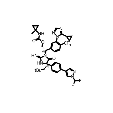 CC(C)(C)C[C@]1(c2ccc(-c3cnn(C(F)F)c3)cc2)NC(=N)N([C@H](COC(=O)NC2(C)CC2)c2ccc(C(F)(F)F)c(-n3ncnc3C3CC3)c2)C1=O